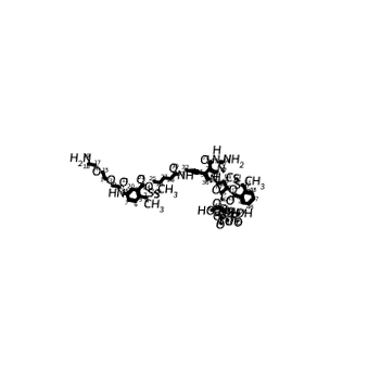 CSSC(C)c1ccc(NC(=O)COCCOCCN)cc1C(=O)OCCCCC(=O)NCC#Cc1cn([C@H]2CC(OC(=O)c3ccccc3C(C)SSC)[C@@H](COP(=O)(O)OP(=O)(O)OP(=O)(O)O)O2)c2nc(N)[nH]c(=O)c12